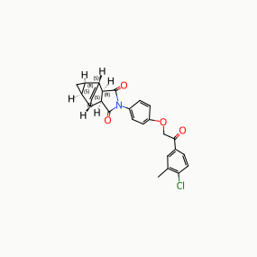 Cc1cc(C(=O)COc2ccc(N3C(=O)[C@@H]4[C@@H]5C=C[C@@H]([C@H]6C[C@@H]56)[C@@H]4C3=O)cc2)ccc1Cl